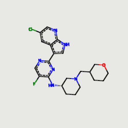 Fc1cnc(-c2c[nH]c3ncc(Cl)cc23)nc1N[C@H]1CCCN(CC2CCCOC2)C1